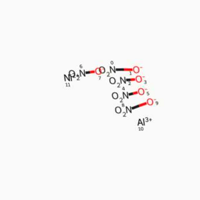 O=[N+]([O-])[O-].O=[N+]([O-])[O-].O=[N+]([O-])[O-].O=[N+]([O-])[O-].O=[N+]([O-])[O-].[Al+3].[Ni+2]